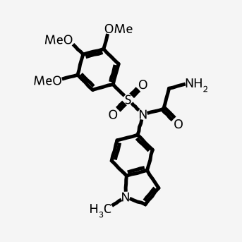 COc1cc(S(=O)(=O)N(C(=O)CN)c2ccc3c(ccn3C)c2)cc(OC)c1OC